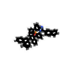 O=P1(c2ccccc2)c2c(-c3c4ccccc4c(-c4cc5ccccc5c5ccccc45)c4ccccc34)cccc2-n2c(-c3ccc4ccccc4c3)nc3cccc1c32